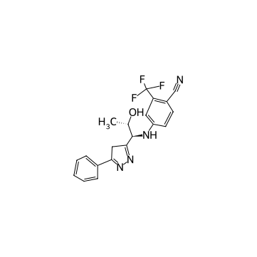 C[C@H](O)[C@@H](Nc1ccc(C#N)c(C(F)(F)F)c1)C1=NN=C(c2ccccc2)C1